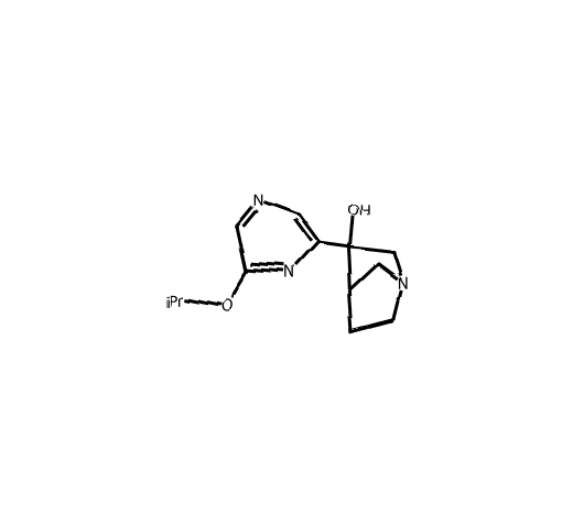 CC(C)Oc1cncc(C2(O)CN3CCC2C3)n1